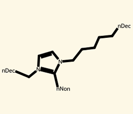 CCCCCCCCCCCCCCCn1cc[n+](CCCCCCCCCCC)c1CCCCCCCCC